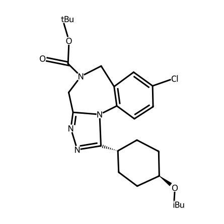 CCC(C)O[C@H]1CC[C@H](c2nnc3n2-c2ccc(Cl)cc2CN(C(=O)OC(C)(C)C)C3)CC1